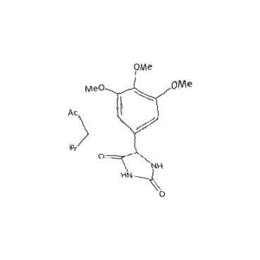 CC(=O)CC(C)C.COc1cc(C2NC(=O)NC2=O)cc(OC)c1OC